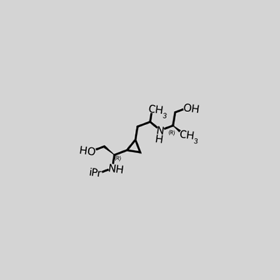 CC(C)N[C@@H](CO)C1CC1CC(C)N[C@H](C)CO